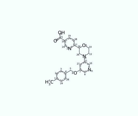 Cc1ccc(COc2cncc(N3CCOC(c4ccc(C(=O)O)cn4)C3)c2)cc1